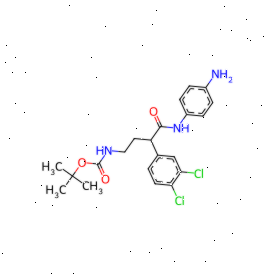 CC(C)(C)OC(=O)NCCC(C(=O)Nc1ccc(N)cc1)c1ccc(Cl)c(Cl)c1